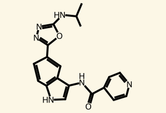 CC(C)Nc1nnc(-c2ccc3[nH]cc(NC(=O)c4ccncc4)c3c2)o1